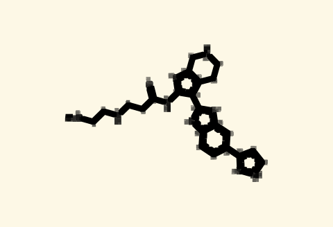 COCCNCCC(=O)Nc1sc2c(c1-c1nc3ccc(-c4cc[nH]n4)cc3s1)CCNC2